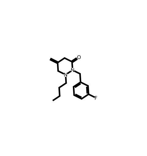 C=C1CC(=O)N(Cc2cccc(F)c2)N(CCCC)C1